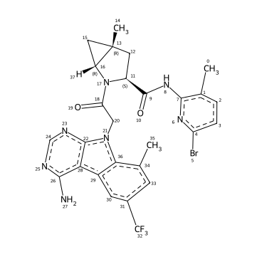 Cc1ccc(Br)nc1NC(=O)[C@@H]1C[C@@]2(C)C[C@H]2N1C(=O)Cn1c2ncnc(N)c2c2cc(C(F)(F)F)cc(C)c21